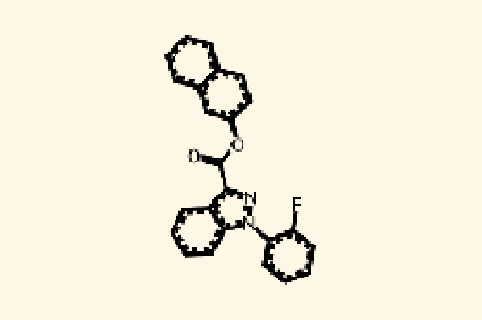 O=C(Oc1ccc2ccccc2c1)c1nn(-c2ccccc2F)c2ccccc12